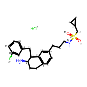 Cl.NC1CCc2ccc(CCCNS(=O)(=O)CC3CC3)cc2C1Cc1cccc(Cl)c1